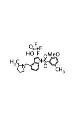 COc1ccc(C)cc1S(=O)(=O)n1ccc2c(CN3CCCC3C)cccc21.O=C(O)C(F)(F)F